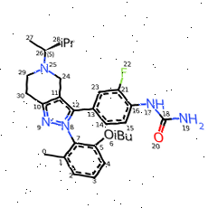 Cc1cccc(OCC(C)C)c1-n1nc2c(c1-c1ccc(NC(N)=O)c(F)c1)CN([C@@H](C)C(C)C)CC2